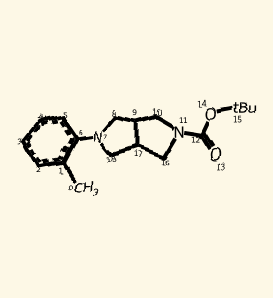 Cc1ccccc1N1CC2CN(C(=O)OC(C)(C)C)CC2C1